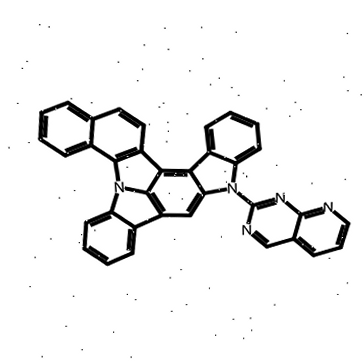 c1cnc2nc(-n3c4ccccc4c4c5c6ccc7ccccc7c6n6c7ccccc7c(cc43)c56)ncc2c1